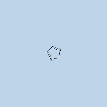 [C]1=NCN=C1